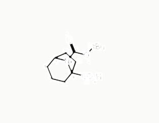 CC(C)(C)OC(=O)N1C2CCCC1(C(=O)O)CC2